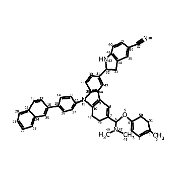 CC1=CC=C(OC(C2=Cc3c(n(-c4ccc(-c5ccc6ccccc6c5)cc4)c4ccc(C5Cc6cc(C#N)ccc6N5)cc34)CC2)N(C)C)CC1